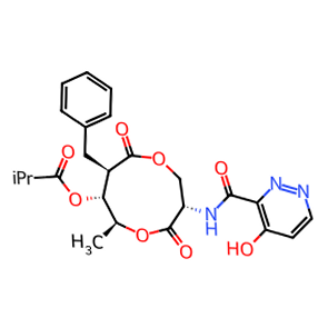 CC(C)C(=O)O[C@H]1[C@H](C)OC(=O)[C@@H](NC(=O)c2nnccc2O)COC(=O)[C@@H]1Cc1ccccc1